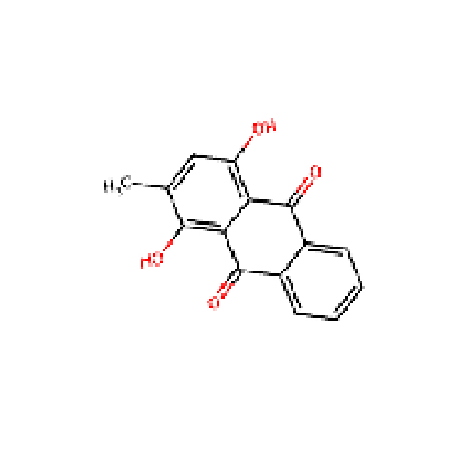 Cc1cc(O)c2c(c1O)C(=O)c1ccccc1C2=O